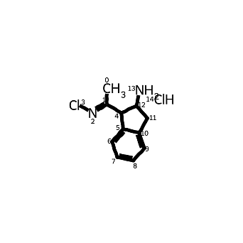 CC(=NCl)C1c2ccccc2CC1N.Cl